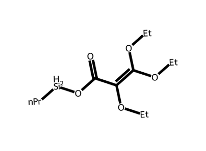 CCC[SiH2]OC(=O)C(OCC)=C(OCC)OCC